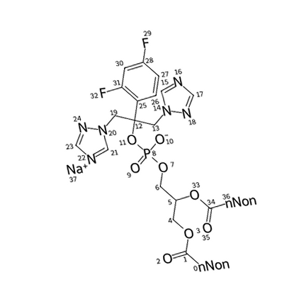 CCCCCCCCCC(=O)OCC(COP(=O)([O-])OC(Cn1cncn1)(Cn1cncn1)c1ccc(F)cc1F)OC(=O)CCCCCCCCC.[Na+]